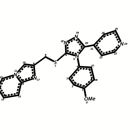 COc1ccc(-n2c(SCc3cn4ccccc4n3)nnc2-c2ccncc2)cc1